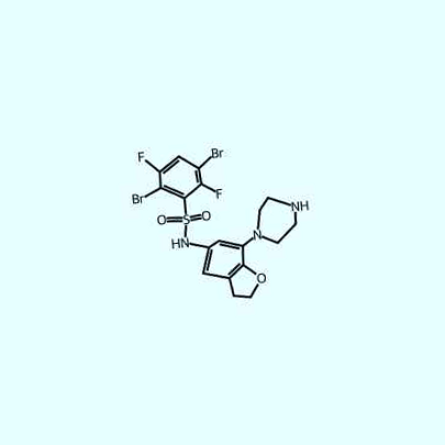 O=S(=O)(Nc1cc2c(c(N3CCNCC3)c1)OCC2)c1c(F)c(Br)cc(F)c1Br